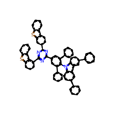 c1ccc(-c2ccc3c(c2)c2cc(-c4ccccc4)ccc2n3-c2c(-c3ccccc3)cc(-c3nc(-c4ccc5c(c4)sc4ccccc45)nc(-c4cccc5sc6ccccc6c45)n3)cc2-c2ccccc2)cc1